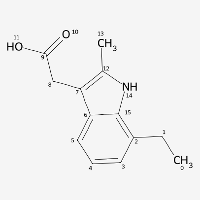 CCc1cccc2c(CC(=O)O)c(C)[nH]c12